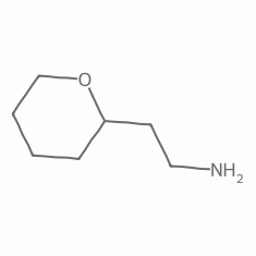 NCCC1CCCCO1